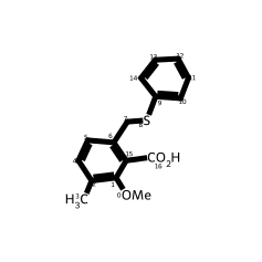 COc1c(C)ccc(CSc2ccccc2)c1C(=O)O